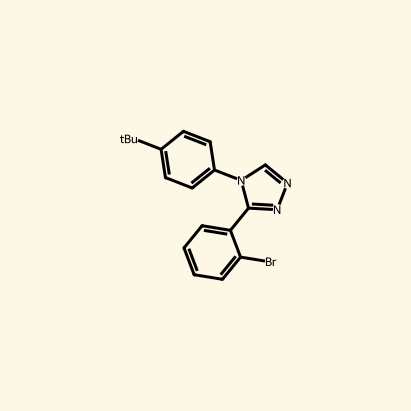 CC(C)(C)c1ccc(-n2cnnc2-c2ccccc2Br)cc1